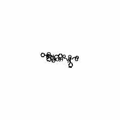 O=C(c1ccccc1)c1ccccc1N[C@@H](Cc1ccc(OCCCN(C(=O)/C=C/c2ccco2)c2ccccc2)cc1)C(=O)O